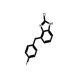 Fc1ccc(Cc2cccc3[nH]c(Cl)nc23)cc1